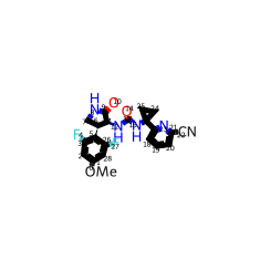 COc1cc(F)c([C@@H]2CNC(=O)[C@H]2NC(=O)NC2(c3cccc(C#N)n3)CC2)c(F)c1